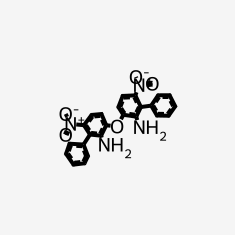 Nc1c(Oc2ccc([N+](=O)[O-])c(-c3ccccc3)c2N)ccc([N+](=O)[O-])c1-c1ccccc1